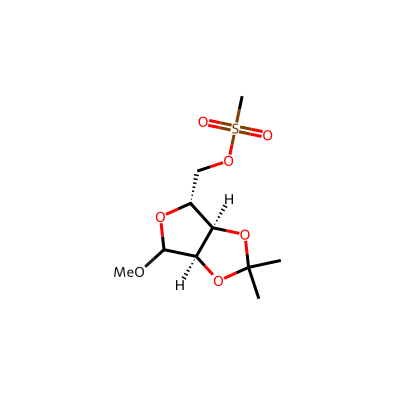 COC1O[C@H](COS(C)(=O)=O)[C@H]2OC(C)(C)O[C@@H]12